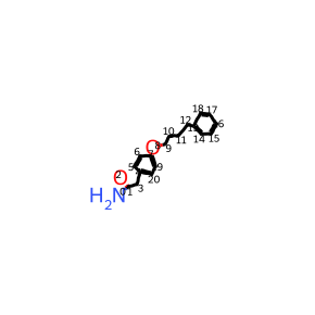 NC(=O)Cc1ccc(OCCCCc2ccccc2)cc1